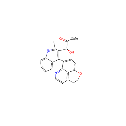 COC(=O)[C@@H](O)c1c(C)nc2ccccc2c1-c1ccc2c3c(ccnc13)CCO2